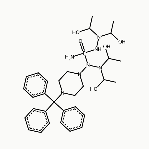 CC(O)N(NP(N)(=O)N(N1CCN(C(c2ccccc2)(c2ccccc2)c2ccccc2)CC1)N(C(C)O)C(C)O)C(C)O